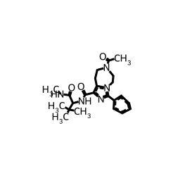 CNC(=O)C(NC(=O)c1nc(-c2ccccc2)n2c1CCN(C(C)=O)CC2)C(C)(C)C